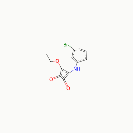 CCOc1c(Nc2cccc(Br)c2)c(=O)c1=O